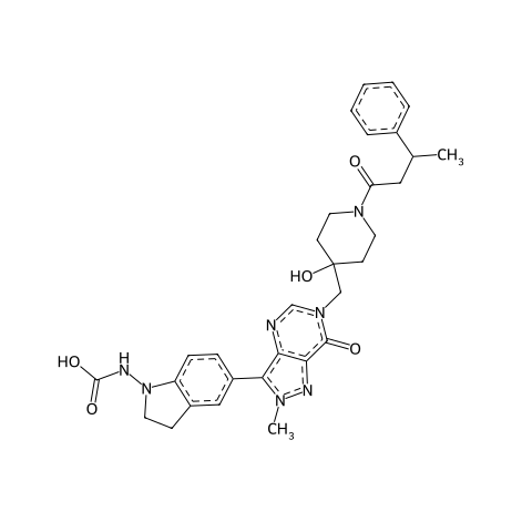 CC(CC(=O)N1CCC(O)(Cn2cnc3c(-c4ccc5c(c4)CCN5NC(=O)O)n(C)nc3c2=O)CC1)c1ccccc1